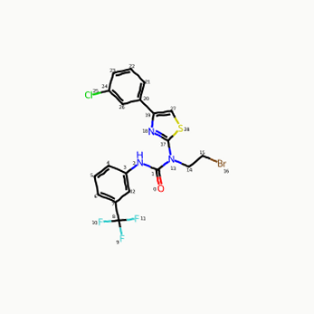 O=C(Nc1cccc(C(F)(F)F)c1)N(CCBr)c1nc(-c2cccc(Cl)c2)cs1